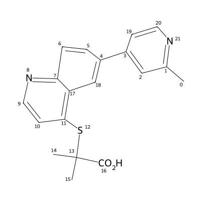 Cc1cc(-c2ccc3nccc(SC(C)(C)C(=O)O)c3c2)ccn1